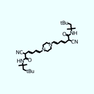 CC(C)(C)CC(C)(C)NC(=O)C(C#N)/C=C/C=C/N1CCN(/C=C/C=C/C(C#N)C(=O)NC(C)(C)CC(C)(C)C)CC1